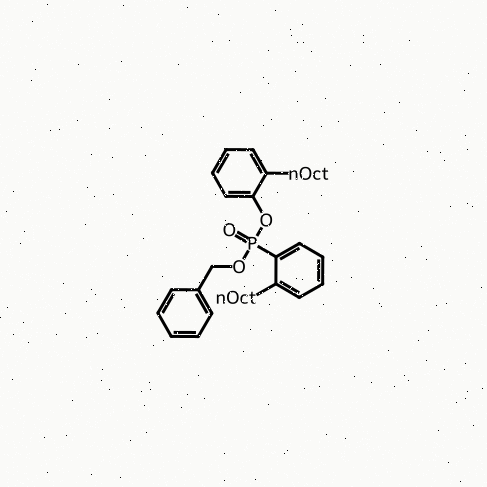 CCCCCCCCc1ccccc1OP(=O)(OCc1ccccc1)c1ccccc1CCCCCCCC